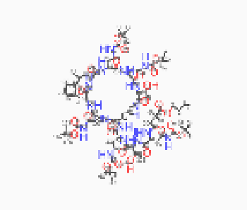 CCCCOC(=O)C(C)(C)CC(=O)N[C@@H](CCNC(=O)OC(C)(C)C)C(=O)N[C@H](C(=O)N[C@@H](CCNC(=O)OC(C)(C)C)C(=O)N[C@H]1CCNC(=O)[C@H]([C@H](C)O)NC(=O)[C@H](CCNC(=O)OC(C)(C)C)NC(=O)[C@H](CCNC(=O)OC(C)(C)C)NC(=O)[C@H](CC(C)C)NC(=O)[C@@H](Cc2ccccc2)NC(=O)[C@H](CCNC(=O)OC(C)(C)C)NC1=O)C(C)O